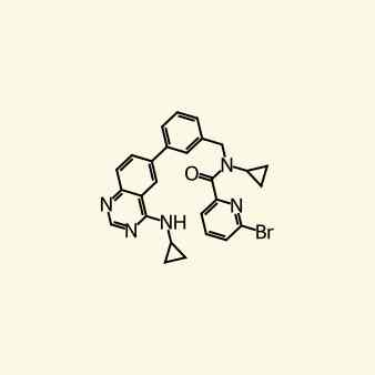 O=C(c1cccc(Br)n1)N(Cc1cccc(-c2ccc3ncnc(NC4CC4)c3c2)c1)C1CC1